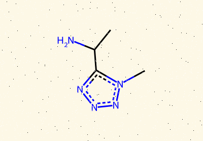 CC(N)c1nnnn1C